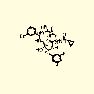 CCCC(CCC)S(=O)(=O)C[C@@H](NC(=O)C1CC1)C(=O)N[C@@H](Cc1cc(F)cc(F)c1)[C@H](O)CNCc1cccc(CC)c1